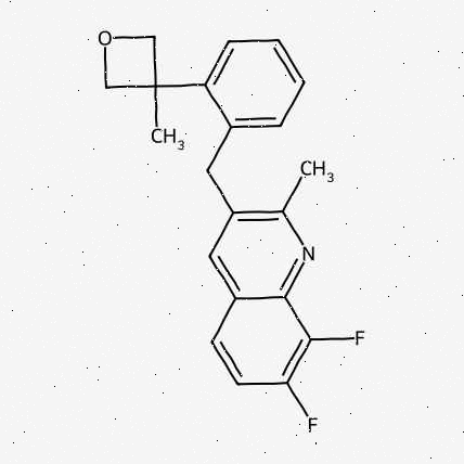 Cc1nc2c(F)c(F)ccc2cc1Cc1ccccc1C1(C)COC1